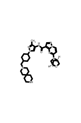 Cc1nn(C2CCC(CN3CCC4(CCNCC4)CC3)CC2)cc1NC(=O)c1cnn2ccc(N3C[C@H]4C[C@@H]3CO4)nc12